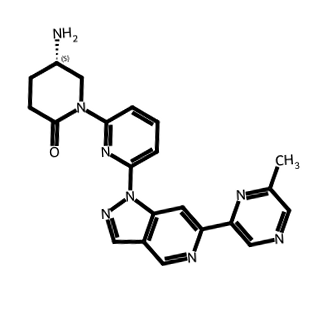 Cc1cncc(-c2cc3c(cn2)cnn3-c2cccc(N3C[C@@H](N)CCC3=O)n2)n1